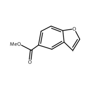 COC(=O)c1ccc2oc[c]c2c1